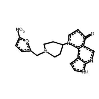 O=c1ccn(C2CCN(Cc3ccc([N+](=O)[O-])o3)CC2)c2c1cnc1[nH]ccc12